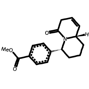 COC(=O)c1ccc([C@H]2CCC[C@H]3C=CCC(=O)N32)cc1